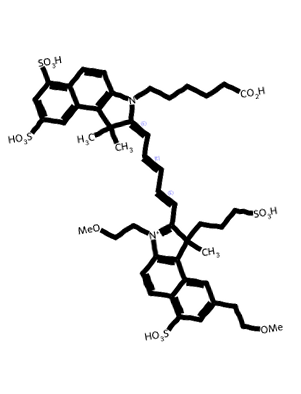 COCCc1cc(S(=O)(=O)O)c2ccc3c(c2c1)C(C)(CCCS(=O)(=O)O)C(/C=C/C=C/C=C1/N(CCCCCC(=O)O)c2ccc4c(S(=O)(=O)O)cc(S(=O)(=O)O)cc4c2C1(C)C)=[N+]3CCOC